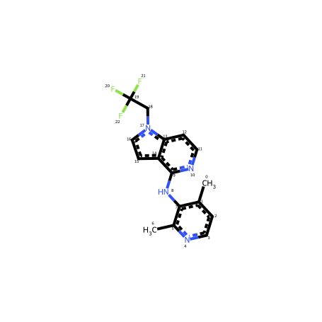 Cc1ccnc(C)c1Nc1nccc2c1ccn2CC(F)(F)F